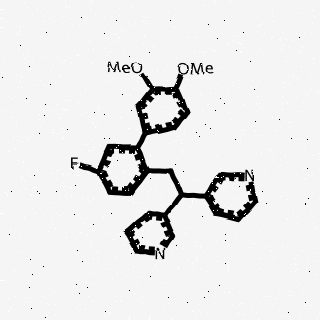 COc1ccc(-c2cc(F)ccc2CC(c2cccnc2)c2cccnc2)cc1OC